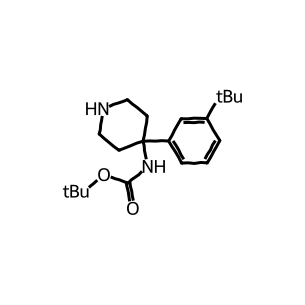 CC(C)(C)OC(=O)NC1(c2cccc(C(C)(C)C)c2)CCNCC1